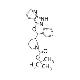 CC(C)(C)OC(=O)N1CCCC(C(Oc2n[nH]c3ncccc23)c2ccccc2)C1